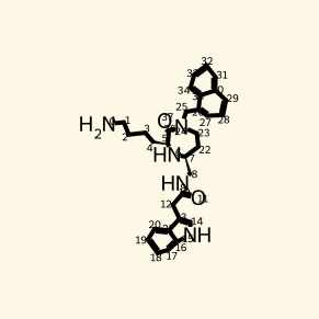 NCCCC[C@@H]1N[C@H](CNC(=O)Cc2c[nH]c3ccccc23)CCN(Cc2cccc3ccccc23)C1=O